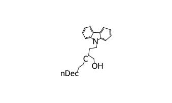 CCCCCCCCCCCCCC(CO)CCn1c2ccccc2c2ccccc21